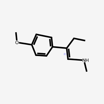 CC/C(=C\NC)c1ccc(OC)cc1